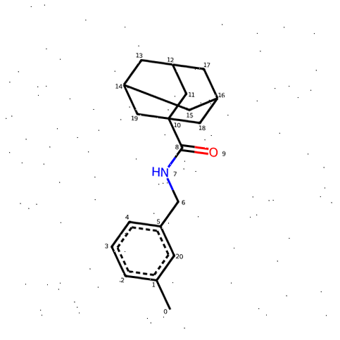 Cc1cccc(CNC(=O)C23CC4CC(CC(C4)C2)C3)c1